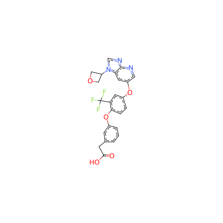 O=C(O)Cc1cccc(Oc2ccc(Oc3cnc4ncn(C5COC5)c4c3)cc2C(F)(F)F)c1